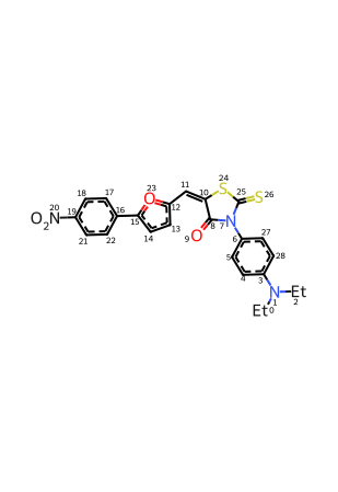 CCN(CC)c1ccc(N2C(=O)/C(=C\c3ccc(-c4ccc([N+](=O)[O-])cc4)o3)SC2=S)cc1